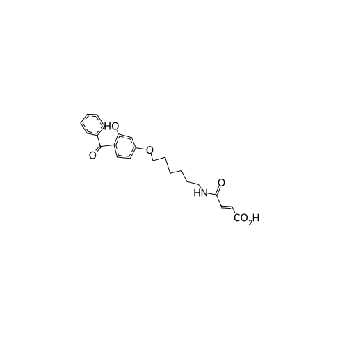 O=C(O)C=CC(=O)NCCCCCCOc1ccc(C(=O)c2ccccc2)c(O)c1